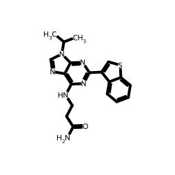 CC(C)n1cnc2c(NCCC(N)=O)nc(-c3csc4ccccc34)nc21